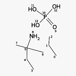 CCC.CCC(C)(C)N.O=P(O)(O)O